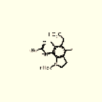 CCCCCCN1CCc2c(C)c(CC(=O)O)c(C)c(NC(=O)C(C)(C)C)c21